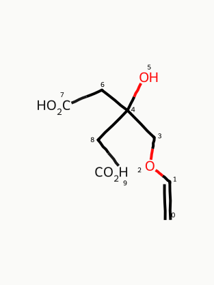 C=COCC(O)(CC(=O)O)CC(=O)O